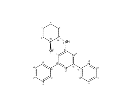 O[C@H]1CCCC[C@@H]1Nc1cc(-c2cccnc2)nc(-c2ccccn2)n1